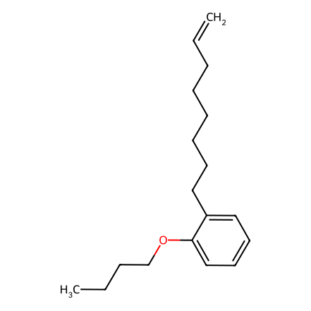 C=CCCCCCCc1ccccc1OCCCC